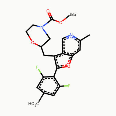 Cc1cc2oc(-c3c(F)cc(C(=O)O)cc3F)c(CC3CN(C(=O)OC(C)(C)C)CCO3)c2cn1